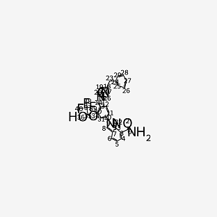 NC(=O)c1cccc2cn(-c3ccc(CN4CC5CCC4CN5Cc4ccccc4)cc3)nc12.O=C(O)C(F)(F)F